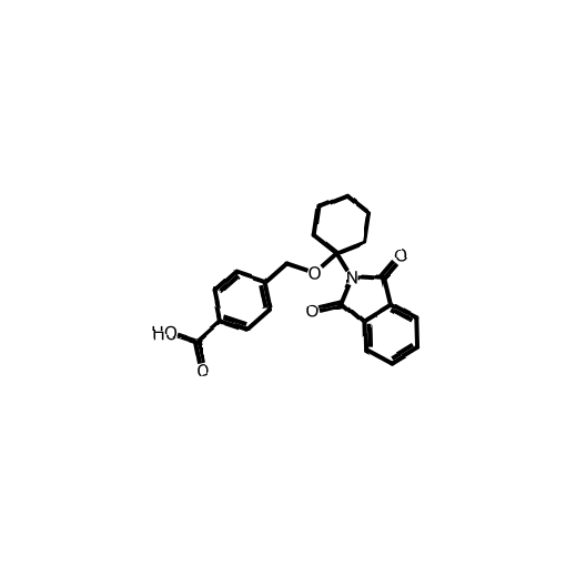 O=C(O)c1ccc(COC2(N3C(=O)c4ccccc4C3=O)CCCCC2)cc1